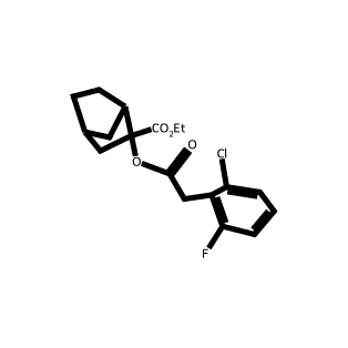 CCOC(=O)C1(OC(=O)Cc2c(F)cccc2Cl)CC2CCC1C2